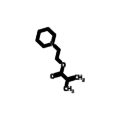 C=C(C)C(=O)OCCN1CCCCC1